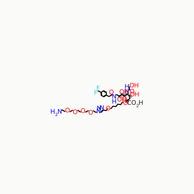 NCCOCCOCCOCCOCCn1cc(COCCCCCCO[C@]2(C(=O)O)C[C@H](O)[C@@H](NC(=O)CO)[C@H]([C@H](O)[C@H](O)CNC(=O)Cc3ccc(C(F)F)cc3)O2)nn1